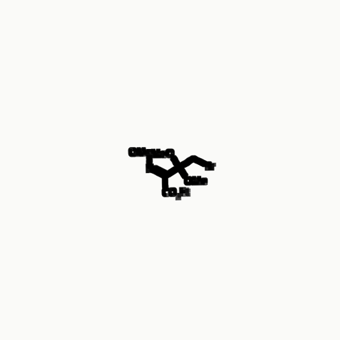 CCOC(=O)C(=NOC)C(CBr)(OC)OC